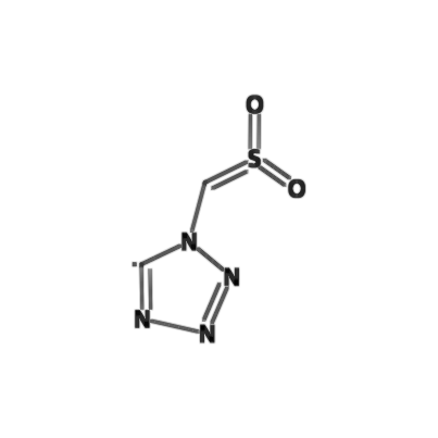 O=S(=O)=Cn1[c]nnn1